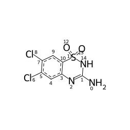 NC1=Nc2cc(Cl)c(Cl)cc2S(=O)(=O)N1